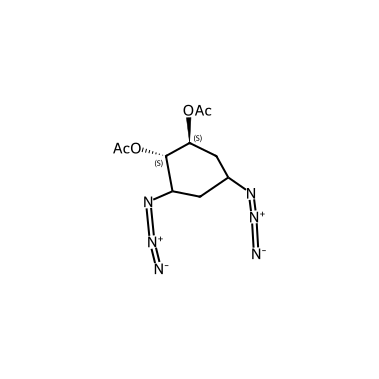 CC(=O)O[C@H]1CC(N=[N+]=[N-])CC(N=[N+]=[N-])[C@@H]1OC(C)=O